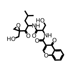 CC(C)CC(NC(=O)C(CO)NC(=O)c1coc2ccccc2c1=O)C(=O)C1(CO)CO1